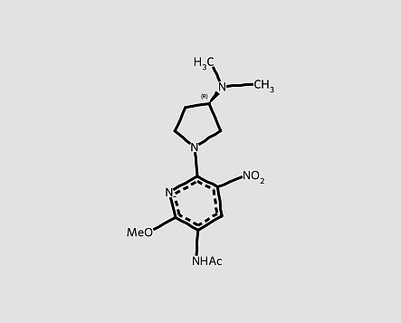 COc1nc(N2CC[C@@H](N(C)C)C2)c([N+](=O)[O-])cc1NC(C)=O